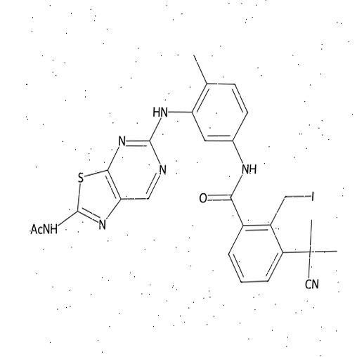 CC(=O)Nc1nc2cnc(Nc3cc(NC(=O)c4cccc(C(C)(C)C#N)c4CI)ccc3C)nc2s1